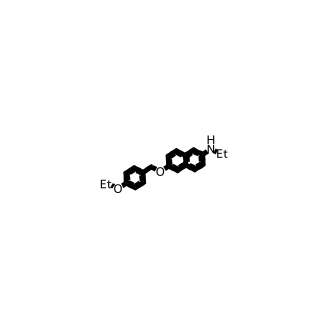 CCNc1ccc2cc(OCc3ccc(OCC)cc3)ccc2c1